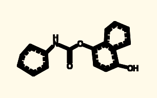 O=C(Nc1ccccc1)Oc1ccc(O)c2ccccc12